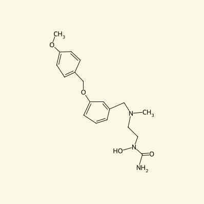 COc1ccc(COc2cccc(CN(C)CCN(O)C(N)=O)c2)cc1